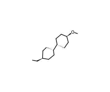 CC[C@H]1CC[C@H]([C@H]2CC[C@H](OC)CC2)CC1